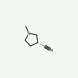 CN1CC[C@@H](C#N)C1